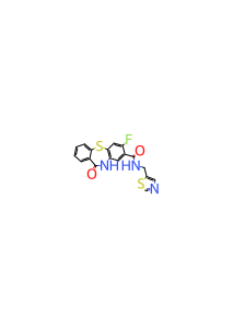 O=C(NCc1cncs1)c1cc2c(cc1F)Sc1ccccc1C(=O)N2